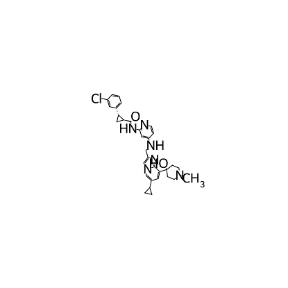 CN1CCC(O)(c2cc(C3CC3)cn3cc(CNc4ccnc(NC(=O)[C@H]5C[C@@H]5c5cccc(Cl)c5)c4)nc23)CC1